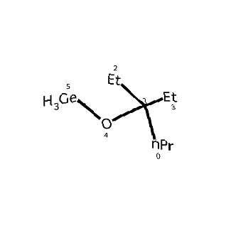 CCCC(CC)(CC)[O][GeH3]